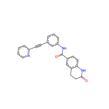 O=C1CCc2cc(C(=O)Nc3cccc(C#Cc4ccccn4)c3)ccc2N1